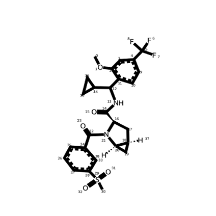 COc1cc(C(F)(F)F)ccc1C(NC(=O)[C@H]1C[C@H]2C[C@H]2N1C(=O)c1cccc(S(C)(=O)=O)c1)C1CC1